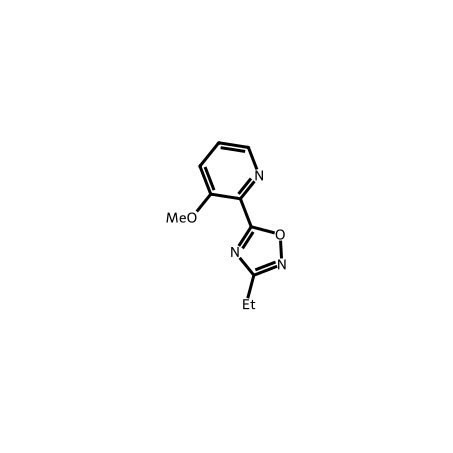 CCc1noc(-c2ncccc2OC)n1